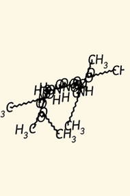 CCCCCCCCCCCCCC(=O)NC(COCC[C@@H](CCCCCCC)OC(=O)CCCCCCCCCCC)COP(=O)(O)OCCNC(=O)CC(=O)NCCOP(=O)(O)OCC(COCC[C@@H](CCCCCCC)OC(=O)CCCCCCCCCCC)NC(=O)CCCCCCCCCCCCC